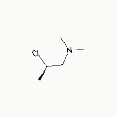 C[C@@H](Cl)CN(C)C